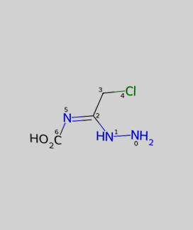 NNC(CCl)=NC(=O)O